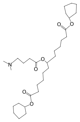 CN(C)CCCC(=O)OC(CCCCCC(=O)OC1CCCCC1)CCCCCC(=O)OC1CCCCC1